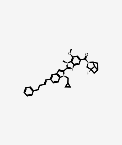 COc1cc(C(=O)N2C[C@H]3CC4CC2C43)cc2nc(-c3cc4cc(/C=C/CCc5ccccc5)ccc4n3CC3CC3)n(C)c12